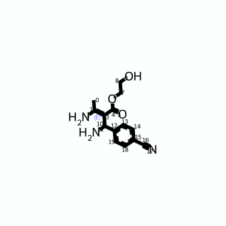 C/C(N)=C(\C(=O)OCCO)C(N)c1ccc(C#N)cc1